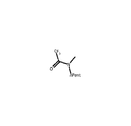 CCCCCN(C)C(=O)C(F)(F)F